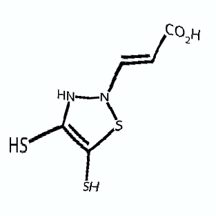 O=C(O)C=CN1NC(S)=C(S)S1